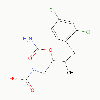 CC(Cc1ccc(Cl)cc1Cl)C(CNC(=O)O)OC(N)=O